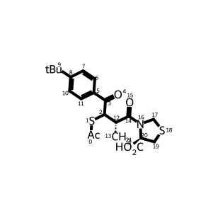 CC(=O)SC(C(=O)c1ccc(C(C)(C)C)cc1)[C@@H](C)C(=O)N1CSC[C@H]1C(=O)O